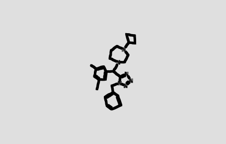 Cc1cc(C)cc(C(c2nnnn2Cc2ccccc2)N2CCCN(C3CCC3)CC2)c1